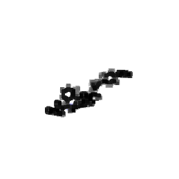 CO/N=C(/C(=O)OC)c1ccccc1CON=C(C)[C@@H]1C[C@H]1c1ccc(OC)cc1